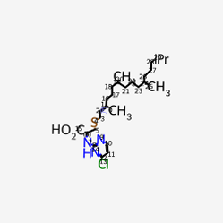 C/C(=C\CSC[C@H](Nc1nccc(Cl)n1)C(=O)O)CCCC(C)CCCC(C)CCCC(C)C